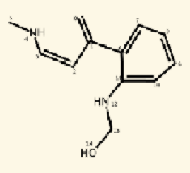 C=C(/C=C\NC)c1ccccc1NCO